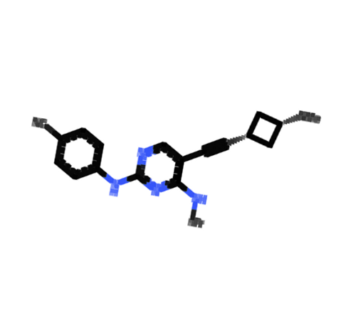 CCCNc1nc(Nc2ccc(C#N)cc2)ncc1C#C[C@H]1C[C@@H](NC)C1